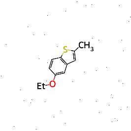 CCOc1ccc2sc(C)cc2c1